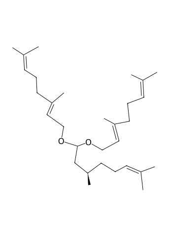 CC(C)=CCC/C(C)=C/COC(C[C@H](C)CCC=C(C)C)OC/C=C(\C)CCC=C(C)C